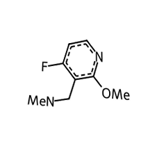 CNCc1c(F)ccnc1OC